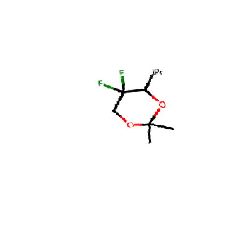 CC(C)C1OC(C)(C)OCC1(F)F